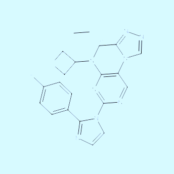 CC[C@@H]1c2nncn2-c2cnc(-n3ccnc3-c3ccc(F)cc3)nc2N1C1COC1